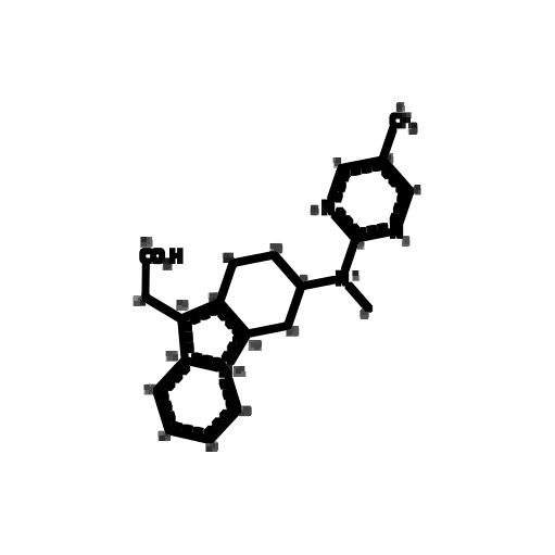 CN(c1ncc(C(F)(F)F)cn1)C1CCc2c(CC(=O)O)c3ccccn3c2C1